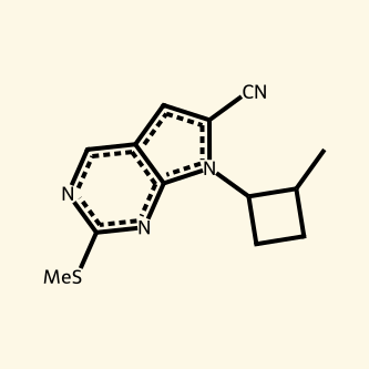 CSc1ncc2cc(C#N)n(C3CCC3C)c2n1